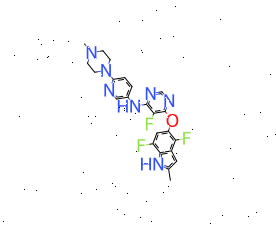 Cc1cc2c(F)c(Oc3ncnc(Nc4ccc(N5CCN(C)CC5)nc4)c3F)cc(F)c2[nH]1